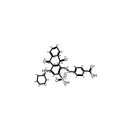 O=C(O)c1ccc(/N=N/c2c(S(=O)(=O)O)cc(NC3CCCCC3)c3c2C(=O)c2ccccc2C3=O)cc1